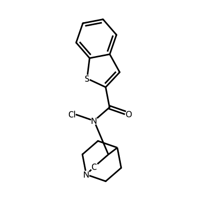 O=C(c1cc2ccccc2s1)N(Cl)C1CN2CCC1CC2